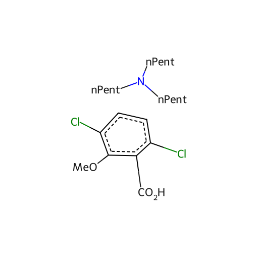 CCCCCN(CCCCC)CCCCC.COc1c(Cl)ccc(Cl)c1C(=O)O